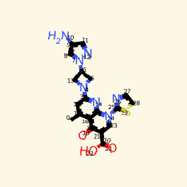 Cc1cc(N2CC(n3cc(N)cn3)C2)nc2c1c(=O)c(C(=O)O)cn2-c1nccs1